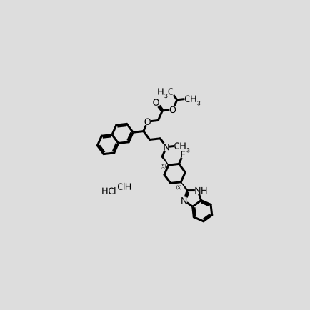 CC(C)OC(=O)COC(CCN(C)C[C@@H]1CC[C@H](c2nc3ccccc3[nH]2)CC1F)c1ccc2ccccc2c1.Cl.Cl